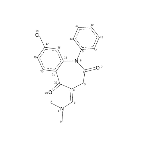 CN(C)C=C1CC(=O)N(c2ccccc2)c2cc(Cl)ccc2C1=O